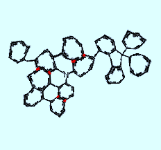 c1ccc(-c2ccc(N(c3ccc(-c4cccc5c4-c4ccccc4C5(c4ccccc4)c4ccccc4)cc3)c3ccccc3-c3cccc4cccc(-c5ccccc5)c34)c(-c3ccccc3)c2)cc1